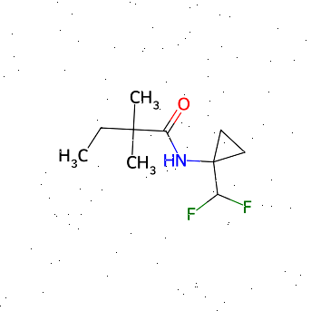 CCC(C)(C)C(=O)NC1(C(F)F)CC1